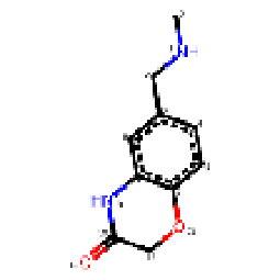 CNCc1ccc2c(c1)NC(=O)CO2